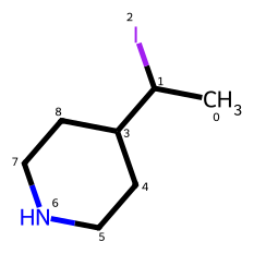 CC(I)C1CCNCC1